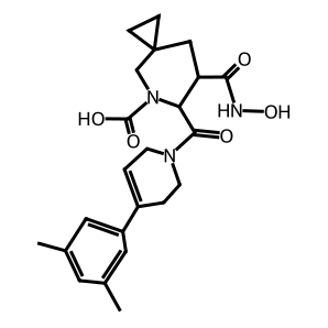 Cc1cc(C)cc(C2=CCN(C(=O)C3C(C(=O)NO)CC4(CC4)CN3C(=O)O)CC2)c1